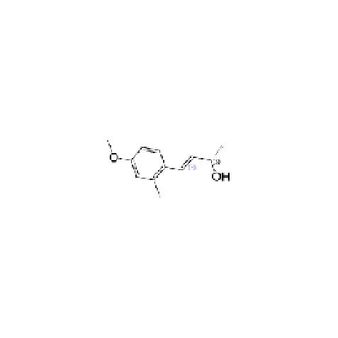 COc1ccc(/C=C/[C@H](C)O)c(C)c1